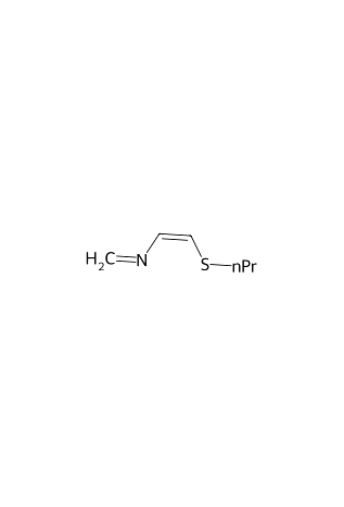 C=N/C=C\SCCC